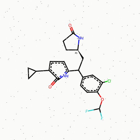 O=C1CC[C@H](CC(c2ccc(OC(F)F)c(Cl)c2)c2ccc(C3CC3)c(=O)[nH]2)N1